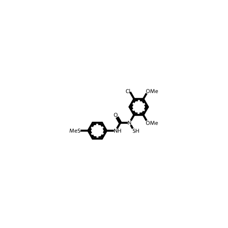 COc1cc(OC)c(N(S)C(=O)Nc2ccc(SC)cc2)cc1Cl